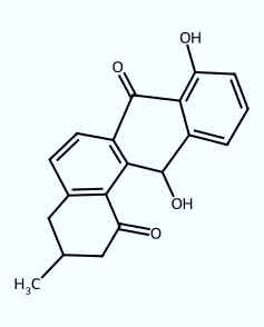 CC1CC(=O)c2c(ccc3c2C(O)c2cccc(O)c2C3=O)C1